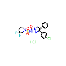 Cl.O=C(NS(=O)(=O)N1CCCC(F)(F)C1)N1C[C@@H](c2ccccc2)C(c2ccc(Cl)cc2)=N1